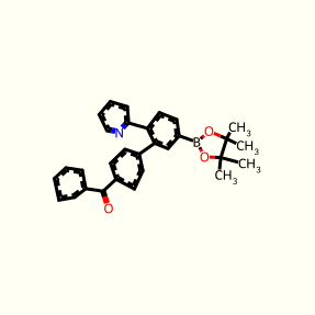 CC1(C)OB(c2ccc(-c3ccccn3)c(-c3ccc(C(=O)c4ccccc4)cc3)c2)OC1(C)C